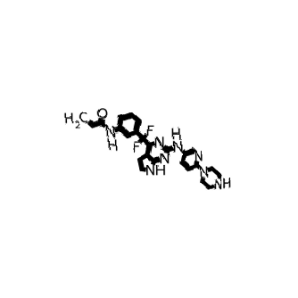 C=CC(=O)Nc1cccc(C(F)(F)c2nc(Nc3ccc(N4CCNCC4)nc3)nc3[nH]ccc23)c1